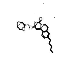 CCCCCc1ccc2c(c1)CCn1c-2cc(OC[C@H]2COCCO2)nc1=O